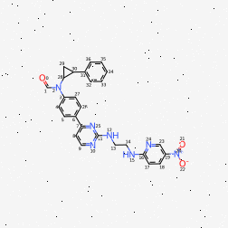 O=CN(c1ccc(-c2ccnc(NCCNc3ccc([N+](=O)[O-])cn3)n2)cc1)C1CC1c1ccccc1